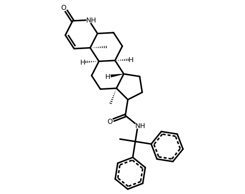 CC(NC(=O)C1CC[C@H]2[C@@H]3CCC4NC(=O)C=C[C@]4(C)[C@@H]3CC[C@]12C)(c1ccccc1)c1ccccc1